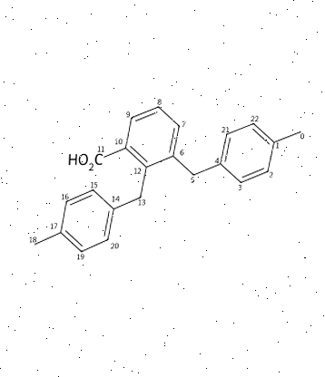 Cc1ccc(Cc2cccc(C(=O)O)c2Cc2ccc(C)cc2)cc1